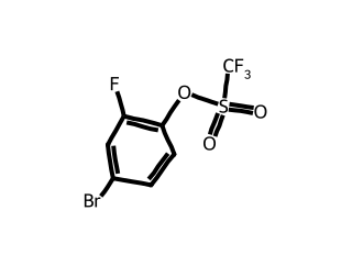 O=S(=O)(Oc1ccc(Br)cc1F)C(F)(F)F